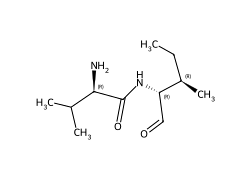 CC[C@@H](C)[C@H](C=O)NC(=O)[C@H](N)C(C)C